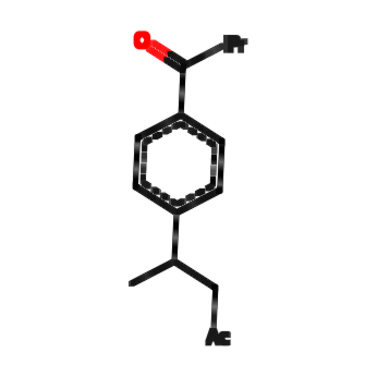 CC(=O)CC(C)c1ccc(C(=O)C(C)C)cc1